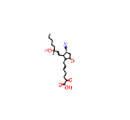 CCCCCC(C)(O)C=CC1C(CC=CCCC(=O)C(=O)O)C(=O)C[C@@H]1C#N